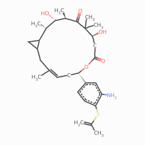 C=C(C)Sc1ccc([C@@H]2C/C=C(/C)CC3CC3[C@H](C)[C@H](O)[C@@H](C)C(=O)C(C)(C)[C@@H](O)CC(=O)O2)cc1N